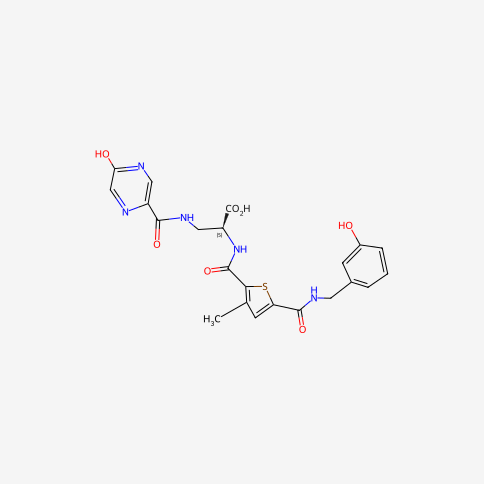 Cc1cc(C(=O)NCc2cccc(O)c2)sc1C(=O)N[C@@H](CNC(=O)c1cnc(O)cn1)C(=O)O